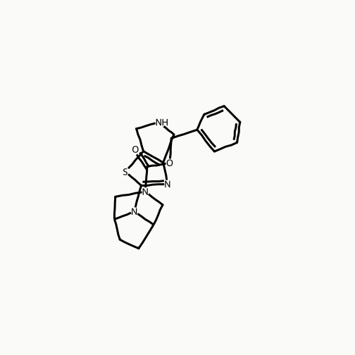 O=C(OCc1ccccc1)N1CC2CCC(C1)N2c1nc2c(s1)CNC2